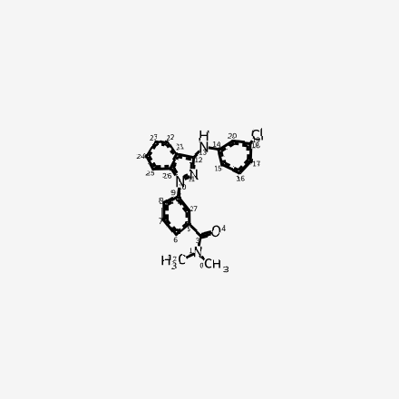 CN(C)C(=O)c1cccc(-n2nc(Nc3cccc(Cl)c3)c3ccccc32)c1